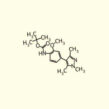 COc1cc(-c2c(C)nn(C)c2C)ccc1NC(=O)OC(C)(C)C